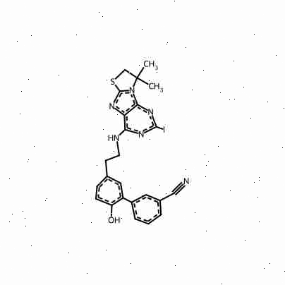 CC1(C)CSc2nc3c(NCCc4ccc(O)c(-c5cccc(C#N)c5)c4)nc(I)nc3n21